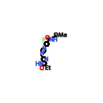 CCc1cc2ncc(CN3CCN(c4ccc(C(=O)NCCOC)c(F)c4)CC3)cc2[nH]c1=O